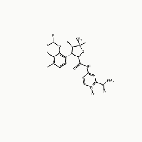 C[C@@H]1[C@@H](c2ccc(F)c(F)c2OC(F)F)[C@H](C(=O)Nc2cc[n+]([O-])c(C(N)=O)c2)O[C@]1(C)C(F)(F)F